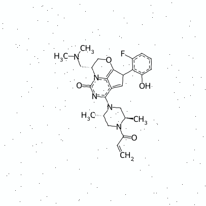 C=CC(=O)N1C[C@H](C)N(c2nc(=O)n3c4c2=CC(c2c(O)cccc2F)C=4OC[C@H]3CN(C)C)C[C@H]1C